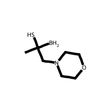 BC(C)(S)CN1CCOCC1